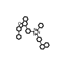 c1ccc(-c2ccc3oc4c5ccccc5cc(-c5cccc(-c6nc(-c7ccccc7)nc(-c7ccc(-c8cccc9ccccc89)cc7)n6)c5)c4c3c2)cc1